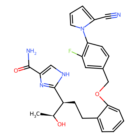 C[C@H](O)[C@H](CCc1ccccc1OCc1ccc(-n2cccc2C#N)c(F)c1)c1nc(C(N)=O)c[nH]1